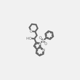 O=S(=O)(c1ccccc1)n1c(C(O)CC2CCCCO2)cc2cccnc21